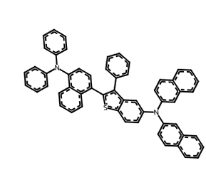 c1ccc(-c2c(-c3ccc(N(c4ccccc4)c4ccccc4)c4ccccc34)sc3ccc(N(c4ccc5ccccc5c4)c4ccc5ccccc5c4)cc23)cc1